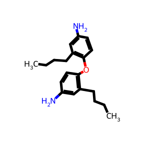 CCCCc1cc(N)ccc1Oc1ccc(N)cc1CCCC